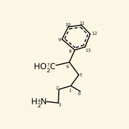 CC(CCN)CC(C(=O)O)c1ccccc1